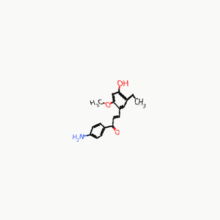 CCc1cc(C=CC(=O)c2ccc(N)cc2)c(OC)cc1O